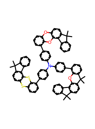 CC1(C)c2cccc(-c3ccc(N(c4ccc(-c5cccc6c5Oc5c(ccc7c5-c5ccccc5C7(C)C)O6)cc4)c4ccc(-c5cccc6c5Sc5c(ccc7c5-c5ccccc5C7(C)C)S6)cc4)cc3)c2Oc2c1ccc1c2-c2ccccc2C1(C)C